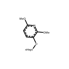 CCCCCCCOc1ccc(OC)nc1OC